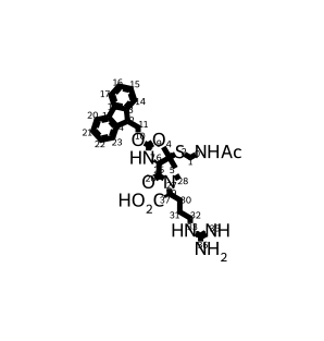 CC(=O)NCSC(C)(C)[C@H](NC(=O)OCC1c2ccccc2-c2ccccc21)C(=O)N(C)[C@@H](CCCNC(=N)N)C(=O)O